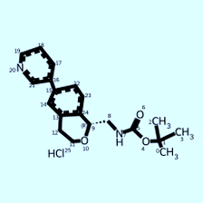 CC(C)(C)OC(=O)NC[C@@H]1OCCc2cc(-c3cccnc3)ccc21.Cl